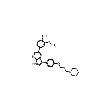 COc1cc(-c2cnc3[nH]cc(-c4ccc(OCCCN5CCCCC5)cc4)c3c2)ccc1O